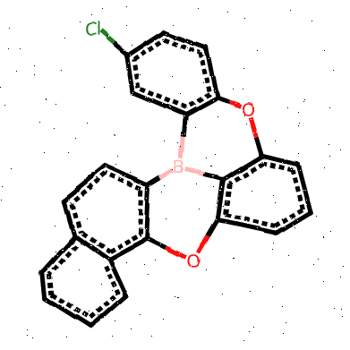 Clc1ccc2c(c1)B1c3ccc4ccccc4c3Oc3cccc(c31)O2